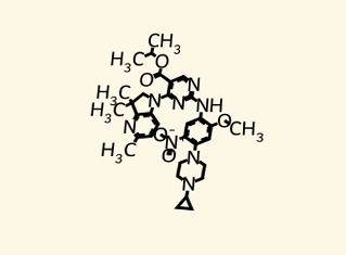 COc1cc(N2CCN(C3CC3)CC2)c([N+](=O)[O-])cc1Nc1ncc(C(=O)OC(C)C)c(N2CC(C)(C)c3nc(C)ccc32)n1